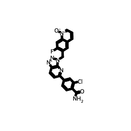 NC(=O)c1ccc(-c2ccc3nnn(Cc4cc5ccc[n+]([O-])c5cc4F)c3n2)cc1Cl